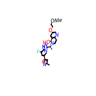 COCCOc1cnc2c(c1)C(O)N([C@@H](C)c1nnc3c(F)cc(-c4cc(C)no4)cn13)C=C2